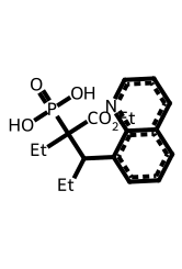 CCOC(=O)C(CC)(C(CC)c1cccc2cccnc12)P(=O)(O)O